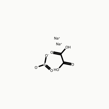 O=C(O)C(=O)O.O=S([O-])[O-].[Na+].[Na+]